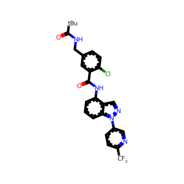 CC(C)(C)C(=O)NCc1ccc(Cl)c(C(=O)Nc2cccc3c2cnn3-c2ccc(C(F)(F)F)nc2)c1